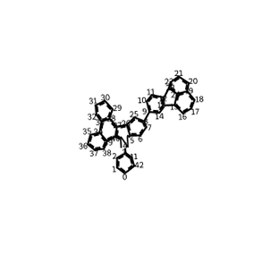 c1ccc(-n2c3ccc(-c4ccc5c(c4)-c4cccc6cccc-5c46)cc3c3c4ccccc4c4ccccc4c32)cc1